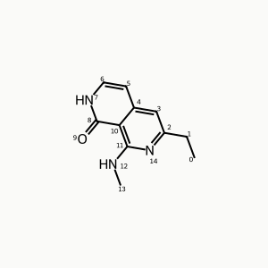 CCc1cc2cc[nH]c(=O)c2c(NC)n1